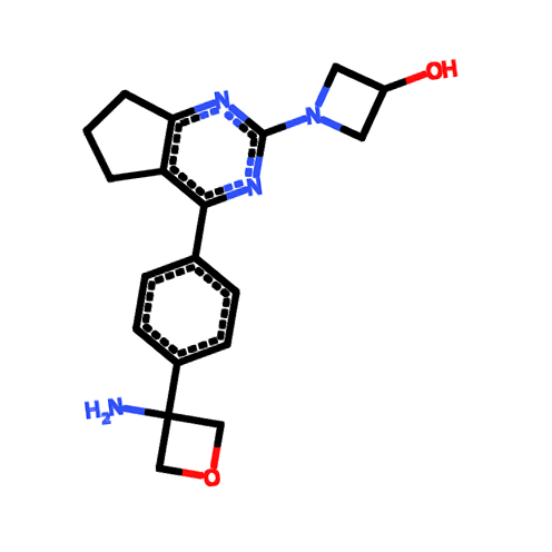 NC1(c2ccc(-c3nc(N4CC(O)C4)nc4c3CCC4)cc2)COC1